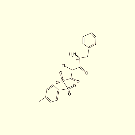 Cc1ccc(S(=O)(=O)S(=O)(=O)C(=O)C(Cl)C(=O)[C@@H](N)Cc2ccccc2)cc1